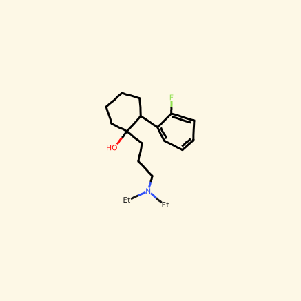 CCN(CC)CCCC1(O)CCCCC1c1ccccc1F